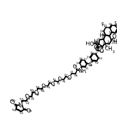 C[C@]12C[C@@H]3O[C@]45C=CC(=O)C=C4[C@@H](F)C[C@@H](C1C[C@H]1O[C@@H](c4ccc(Sc6cccc(NC(=O)CCOCCOCCOCCOCCOCCOCCN7C(=O)C=CC7=O)c6)cc4)O[C@]12C(=O)CO)C35